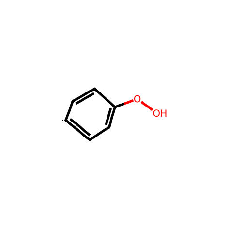 OOc1cc[c]cc1